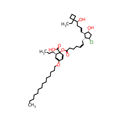 CCCCCCCCCCCCCCOC1=C[C@@H](CCC)C(OC(=O)CCC/C=C\C[C@@H]2[C@@H](/C=C/C[C@H](O)C3(CC)CCC3)[C@H](O)C[C@H]2Cl)(C(=O)O)C=C1